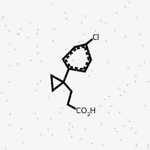 O=C(O)CCC1(c2ccc(Cl)cc2)CC1